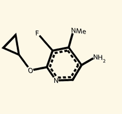 CNc1c(N)cnc(OC2CC2)c1F